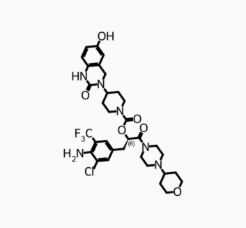 Nc1c(Cl)cc(C[C@@H](OC(=O)N2CCC(N3Cc4cc(O)ccc4NC3=O)CC2)C(=O)N2CCN(C3CCOCC3)CC2)cc1C(F)(F)F